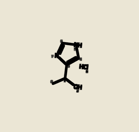 CC(O)c1c[nH]cn1.Cl